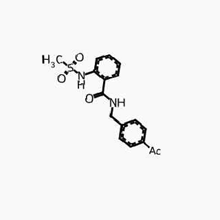 CC(=O)c1ccc(CNC(=O)c2ccccc2NS(C)(=O)=O)cc1